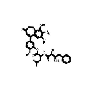 COc1ccc(C2=CC(=O)CCc3c2cc(OC)c(OC)c3OC)cc1OC(=O)C(CC(C)C)NC(=O)C(O)C(N)Cc1ccccc1